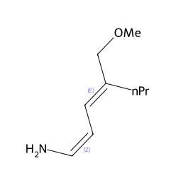 CCC/C(=C\C=C/N)COC